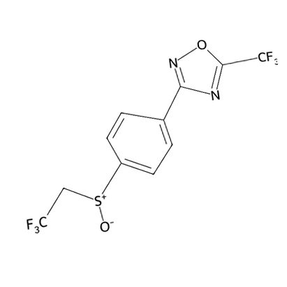 [O-][S+](CC(F)(F)F)c1ccc(-c2noc(C(F)(F)F)n2)cc1